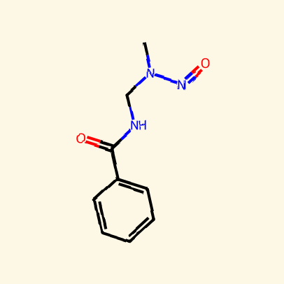 CN(CNC(=O)c1ccccc1)N=O